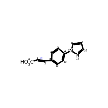 O=C(O)/C=C/c1ccc(-n2cccn2)cc1